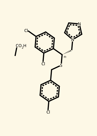 CC(=O)O.Clc1ccc(CS[C@@H](Cn2ccnc2)c2ccc(Cl)cc2Cl)cc1